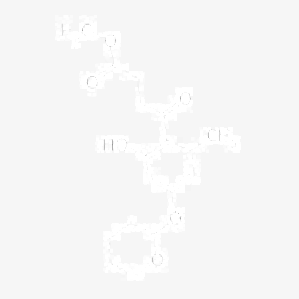 COC(=O)CCC(=O)c1c(C)cc(OC2CCCCO2)cc1O